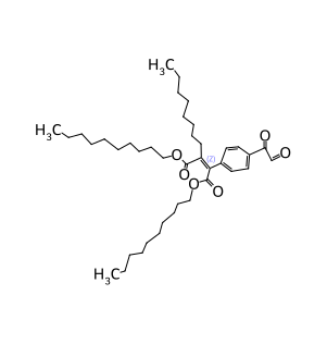 CCCCCCCCCCOC(=O)/C(CCCCCCCC)=C(\C(=O)OCCCCCCCCCC)c1ccc(C(=O)C=O)cc1